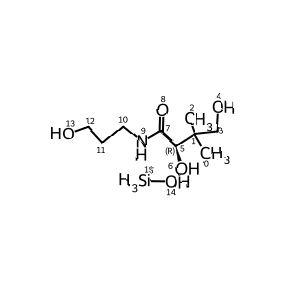 CC(C)(CO)[C@@H](O)C(=O)NCCCO.O[SiH3]